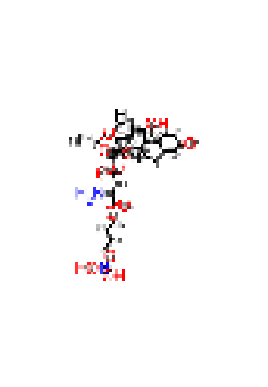 CCCC1O[C@@H]2CC3[C@@H]4CCC5=CC(=O)C=C[C@]5(C)C4[C@@H](O)C[C@]3(C)[C@]2(C(=O)COC(=O)CC(N)C(=O)OCCCCON(O)O)O1